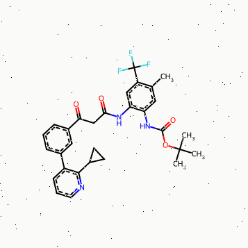 Cc1cc(NC(=O)OC(C)(C)C)c(NC(=O)CC(=O)c2cccc(-c3cccnc3C3CC3)c2)cc1C(F)(F)F